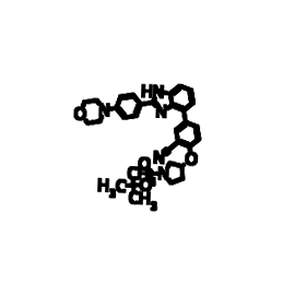 CC(C)(C)OC(=O)N1CC[C@@H](Oc2ccc(-c3cccc4[nH]c(-c5ccc(N6CCOCC6)cc5)nc34)cc2C#N)C1